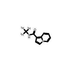 [2H]C([2H])([2H])NC(=O)c1ccn2ccccc12